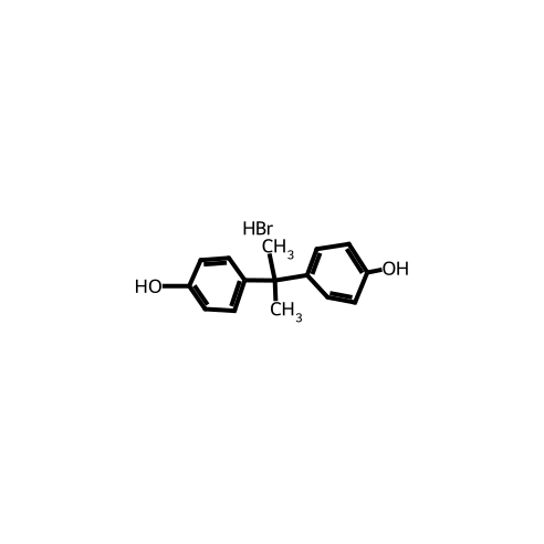 Br.CC(C)(c1ccc(O)cc1)c1ccc(O)cc1